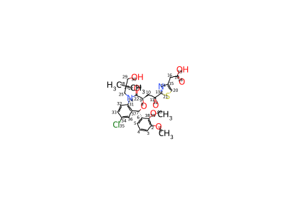 COc1cccc([C@H]2O[C@H](CC(=O)c3nc(CC(=O)O)cs3)C(=O)N(CC(C)(C)CO)c3ccc(Cl)cc32)c1OC